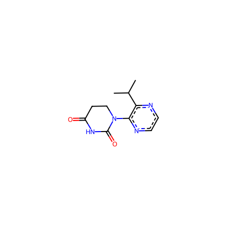 CC(C)c1nccnc1N1CCC(=O)NC1=O